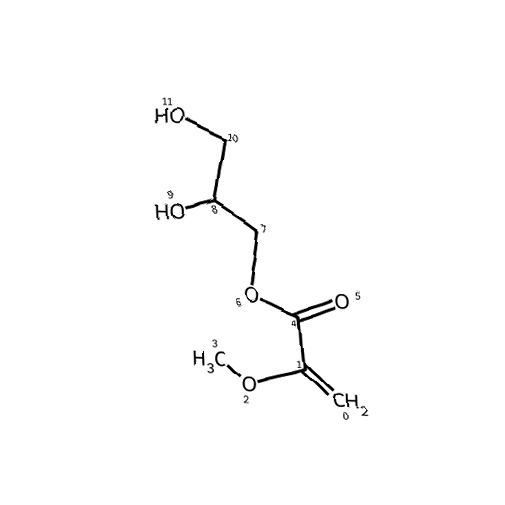 C=C(OC)C(=O)OCC(O)CO